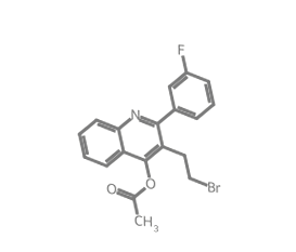 CC(=O)Oc1c(CCBr)c(-c2cccc(F)c2)nc2ccccc12